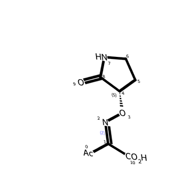 CC(=O)/C(=N/O[C@H]1CCNC1=O)C(=O)O